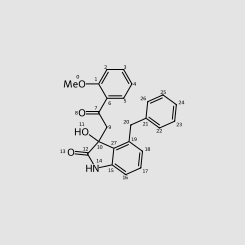 COc1ccccc1C(=O)CC1(O)C(=O)Nc2cccc(Cc3ccccc3)c21